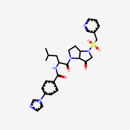 CC(C)CC(NC(=O)c1ccc(-n2ccnc2)cc1)C(=O)N1CCC2C1C(=O)CN2S(=O)(=O)Cc1cccnc1